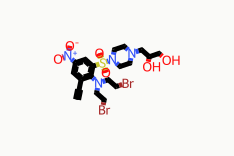 C#Cc1cc([N+](=O)[O-])cc(S(=O)(=O)N2CCN(CC(O)CO)CC2)c1N(CCBr)CCBr